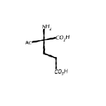 CC(=O)C(N)(CCC(=O)O)C(=O)O